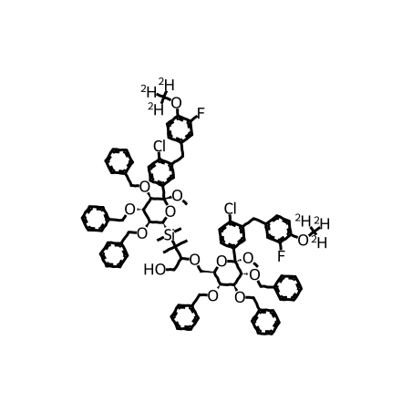 [2H]C([2H])([2H])Oc1ccc(Cc2cc([C@]3(OC)O[C@H](COC(CO)C(C)(C)[Si](C)(C)[C@H]4O[C@@](OC)(c5ccc(Cl)c(Cc6ccc(OC([2H])([2H])[2H])c(F)c6)c5)[C@H](OCc5ccccc5)[C@@H](OCc5ccccc5)[C@@H]4OCc4ccccc4)[C@@H](OCc4ccccc4)[C@H](OCc4ccccc4)[C@H]3OCc3ccccc3)ccc2Cl)cc1F